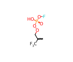 C=C(COOP(=O)(O)OF)C(F)(F)F